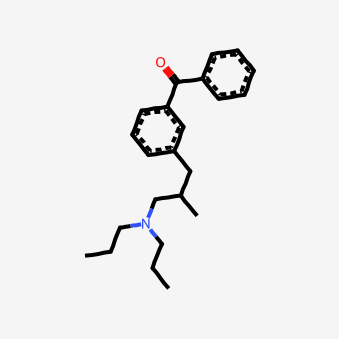 CCCN(CCC)CC(C)Cc1cccc(C(=O)c2ccccc2)c1